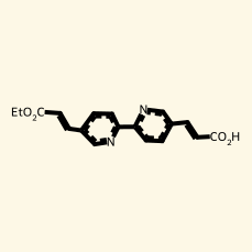 CCOC(=O)C=Cc1ccc(-c2ccc(C=CC(=O)O)cn2)nc1